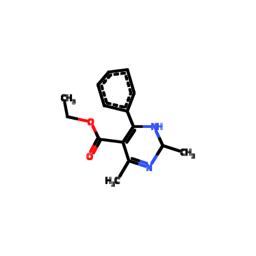 CCOC(=O)C1=C(c2ccccc2)NC(C)N=C1C